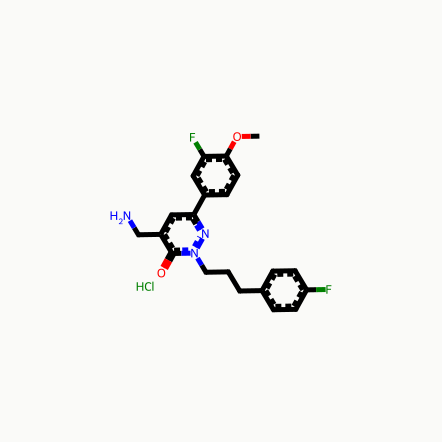 COc1ccc(-c2cc(CN)c(=O)n(CCCc3ccc(F)cc3)n2)cc1F.Cl